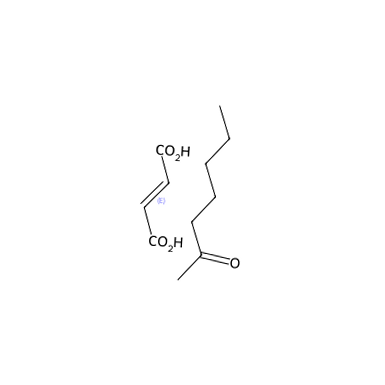 CCCCCC(C)=O.O=C(O)/C=C/C(=O)O